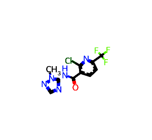 Cn1ncnc1NC(=O)c1ccc(C(F)(F)F)nc1Cl